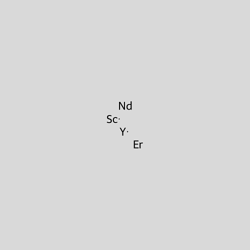 [Er].[Nd].[Sc].[Y]